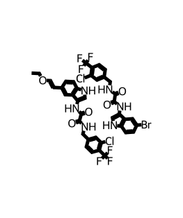 CCO/C=C/c1ccc2[nH]cc(NC(=O)C(=O)NCc3ccc(C(F)(F)F)c(Cl)c3)c2c1.O=C(NCc1ccc(C(F)(F)F)c(Cl)c1)C(=O)Nc1c[nH]c2ccc(Br)cc12